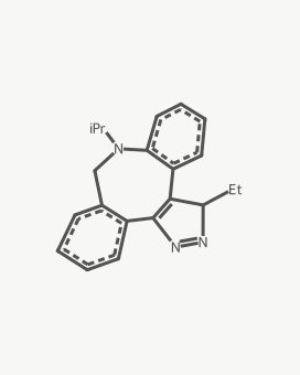 CCC1N=NC2=C1c1ccccc1N(C(C)C)Cc1ccccc12